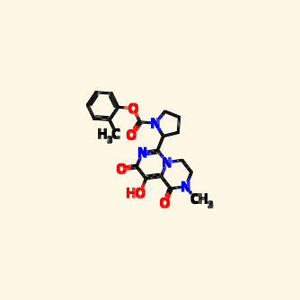 Cc1ccccc1OC(=O)N1CCCC1c1nc(=O)c(O)c2n1CCN(C)C2=O